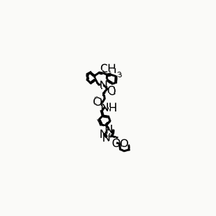 C/C1=C/c2ccccc2CN(C(=O)CCC(=O)NCc2ccc(-n3cc(COC4CCCCO4)nn3)cc2)c2ccccc21